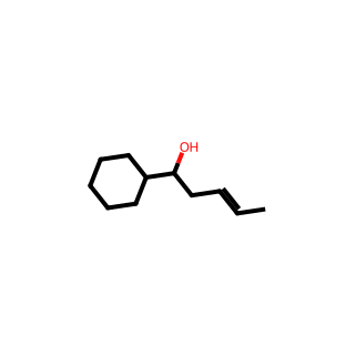 CC=CCC(O)C1CCCCC1